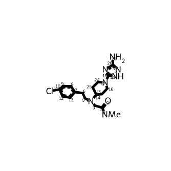 CNC(=O)CN(CCc1ccc(Cl)cc1)C1CCN(c2nc(N)n[nH]2)CC1